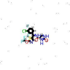 O=C1NC[C@@H](C(=O)NC(c2cnc(OC(F)F)s2)c2ccc(F)c(Cl)c2F)N1